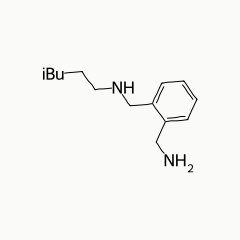 CCC(C)CCNCc1ccccc1CN